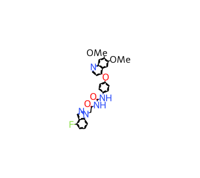 COc1cc2nccc(Oc3ccc(NC(=O)NC(=O)Cn4ncc5c(F)cccc54)cc3)c2cc1OC